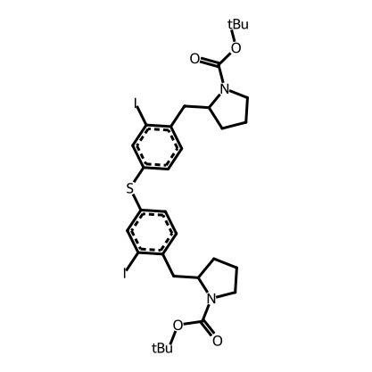 CC(C)(C)OC(=O)N1CCCC1Cc1ccc(Sc2ccc(CC3CCCN3C(=O)OC(C)(C)C)c(I)c2)cc1I